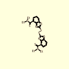 CCN(CC)C(=S)c1cccc2sc(SSc3nc4c(C(=S)N(CC)CC)cccc4s3)nc12